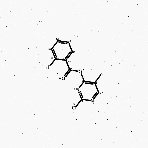 Cc1cnc(Cl)nc1OC(=O)c1ccccc1F